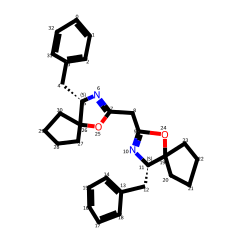 c1ccc(C[C@@H]2N=C(CC3=N[C@@H](Cc4ccccc4)C4(CCCC4)O3)OC23CCCC3)cc1